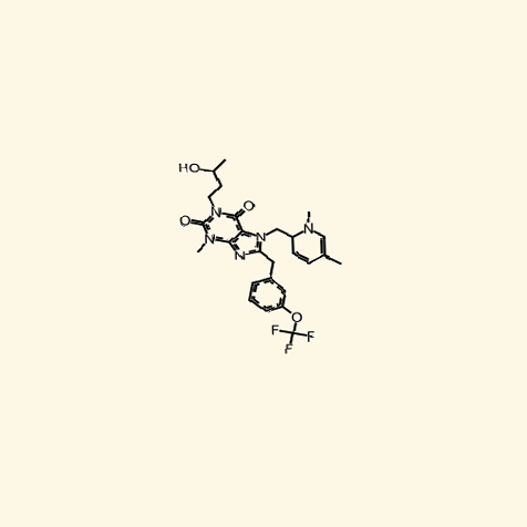 CC1=CN(C)C(Cn2c(Cc3cccc(OC(F)(F)F)c3)nc3c2c(=O)n(CCC(C)O)c(=O)n3C)C=C1